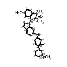 Cc1ccc(N(C)S(C)(=O)=O)c(Cn2ccc3cnc(Nc4ccc(N5CCN[C@@H](C)C5)c(F)c4)nc32)c1